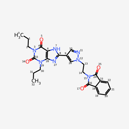 CCCn1c(=O)c2[nH]c(-c3cnn(CCN4C(=O)c5ccccc5C4=O)c3)nc2n(CCC)c1=O